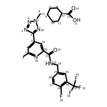 Cc1cc(-c2nnn(C[C@H]3CC[C@H](C(=O)O)CC3)n2)cc(C(=O)NCc2ccc(F)c(C(F)(F)F)c2)n1